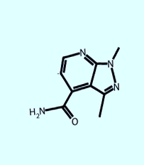 Cc1nn(C)c2nc[c]c(C(N)=O)c12